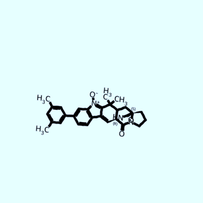 Cc1cc(C)cc(-c2ccc3c(c2)[N+]([O-])=C2C3=C[C@@]34NC(=O)[C@]5(CCCN5C3=O)CC4C2(C)C)c1